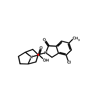 Cc1cc(Cl)c2c(c1)C(=O)N(C1CC3CCC(C1)N3C(=O)O)C2